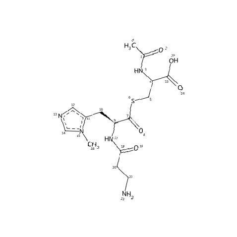 CC(=O)NC(CSC(=O)[C@H](Cc1cncn1C)NC(=O)CCN)C(=O)O